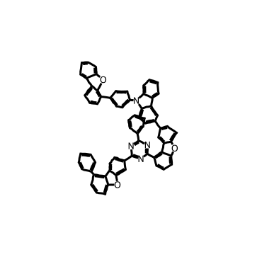 c1ccc(-c2nc(-c3ccc4c(c3)oc3cccc(-c5ccccc5)c34)nc(-c3cccc4oc5ccc(-c6ccc7c(c6)c6ccccc6n7-c6ccc(-c7cccc8c7oc7ccccc78)cc6)cc5c34)n2)cc1